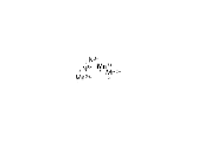 [Mn+2].[Mn+2].[Mn+2].[N-3].[N-3]